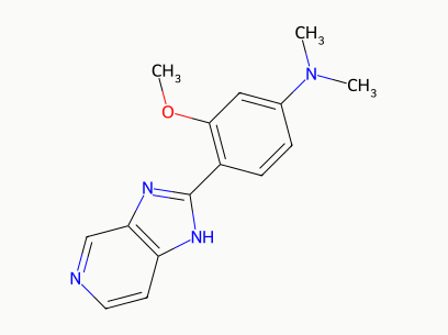 COc1cc(N(C)C)ccc1-c1nc2cnccc2[nH]1